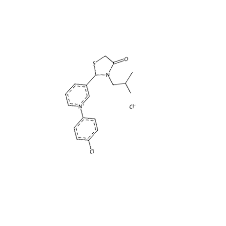 CC(C)CN1C(=O)CSC1c1ccc[n+](-c2ccc(Cl)cc2)c1.[Cl-]